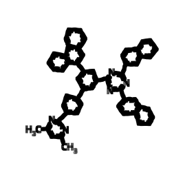 Cc1cc(C)nc(-c2ccc(-c3cc(-c4nc(-c5ccc6ccccc6c5)nc(-c5ccc6ccccc6c5)n4)cc(-c4cc5ccccc5c5ccccc45)c3)cc2)n1